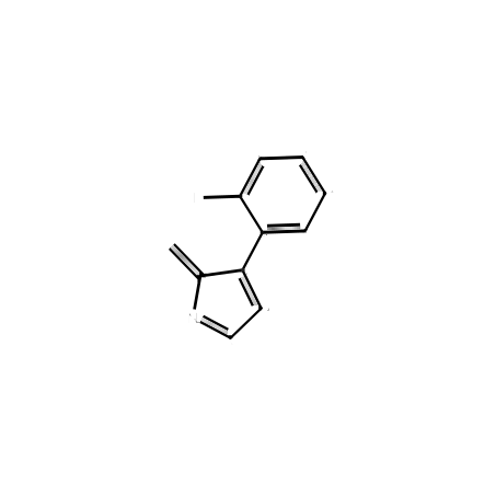 C=C1N=CC=C1c1ccccc1F